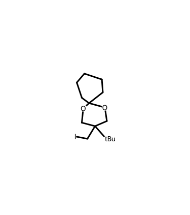 CC(C)(C)C1(CI)COC2(CCCCC2)OC1